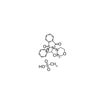 CC(c1ccccc1)[N+]1(N2CCOCC2)C(=O)c2ccccc2S1(=O)=O.CS(=O)(=O)O